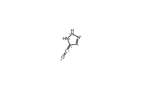 O=C=C1C=NNN1